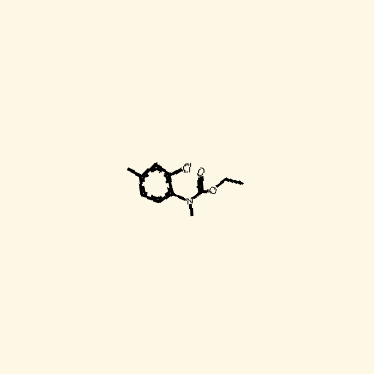 [CH2]COC(=O)N(C)c1ccc(C)cc1Cl